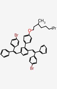 CC(C)CCCC(C)CCOc1ccc(-c2cc(C=C(c3ccccc3)c3ccc(Br)cc3)ccc2C=C(c2ccccc2)c2ccc(Br)cc2)cc1